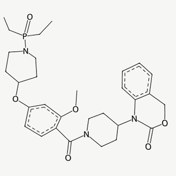 CCP(=O)(CC)N1CCC(Oc2ccc(C(=O)N3CCC(N4C(=O)OCc5ccccc54)CC3)c(OC)c2)CC1